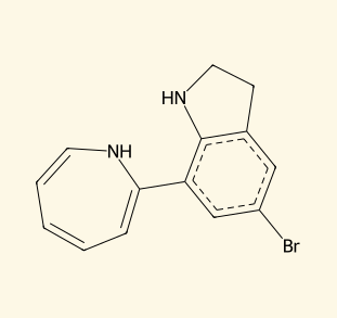 Brc1cc2c(c(C3=CC=CC=CN3)c1)NCC2